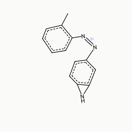 Cc1ccccc1/N=N\c1ccc2c(c1)N2